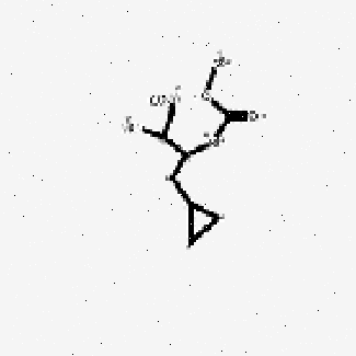 CC(C)(C)OC(=O)NC(CC1CC1)C(O)C(=O)O